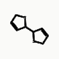 C1=CC(C2C=CCS2)SC1